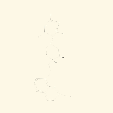 COc1cnc2cccc(OC[C@]3(O)CCN(c4c(F)cc(Cl)cc4F)C[C@H]3O)c2n1